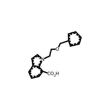 O=C(O)c1cccc2ccn(CCOCc3ccccc3)c12